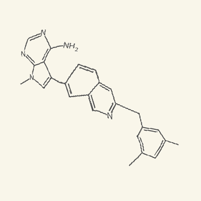 Cc1cc(C)cc(Cc2cc3ccc(-c4cn(C)c5ncnc(N)c45)cc3cn2)c1